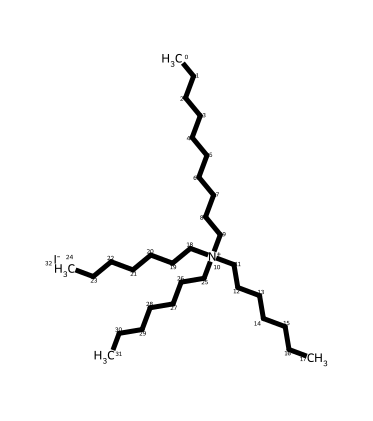 CCCCCCCCCC[N+](CCCCCCC)(CCCCCCC)CCCCCCC.[I-]